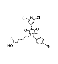 CC1(Cc2ccc(C#N)cc2)C(=O)N(c2cc(Cl)nc(Cl)c2)C(=O)N1CCCCCC(=O)O